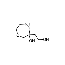 OCCC1(O)CNCCOC1